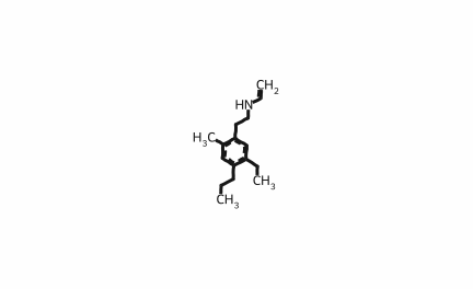 C=CNCCc1cc(CC)c(CCC)cc1C